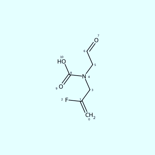 C=C(F)CN(CC=O)C(=O)O